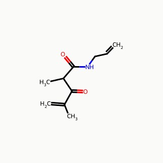 C=CCNC(=O)C(C)C(=O)C(=C)C